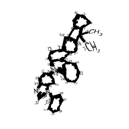 CC1(C)c2ccccc2-c2cc3ccc4c(c3cc21)c1ccccc1n4-c1ccc2ncn(-c3ccccc3)c2c1